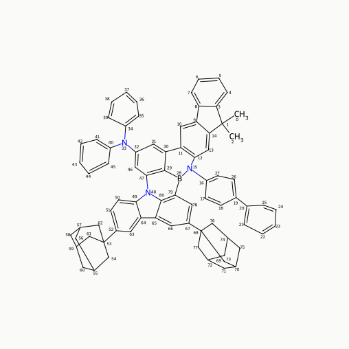 CC1(C)c2ccccc2-c2cc3c(cc21)N(c1ccc(-c2ccccc2)cc1)B1c2c-3cc(N(c3ccccc3)c3ccccc3)cc2-n2c3ccc(C45CC6CC(CC(C6)C4)C5)cc3c3cc(C45CC6CC(CC(C6)C4)C5)cc1c32